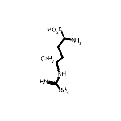 N=C(N)NCCC[C@H](N)C(=O)O.[CaH2]